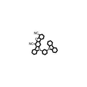 N#Cc1cccc2c1oc1c(C#N)c3c4ccccc4n(-c4cccc(-n5c6ccccc6c6ccccc65)c4)c3cc12